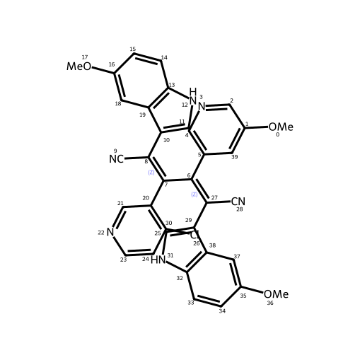 COc1cncc(C(/C(=C(/C#N)c2c[nH]c3ccc(OC)cc23)c2cnccc2Cl)=C(\C#N)c2c[nH]c3ccc(OC)cc23)c1